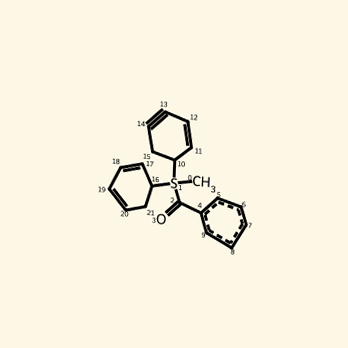 CS(C(=O)c1ccccc1)(C1C=CC#CC1)C1C=CC=CC1